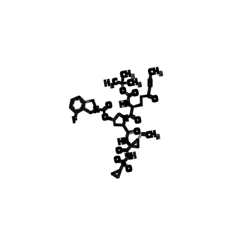 C=C[C@@H]1C[C@]1(NC(=O)C1C[C@@H](OC(=O)N2Cc3cccc(F)c3C2)CN1C(=O)[C@H](CCC(=O)C#CC)NC(=O)OC(C)(C)C)C(=O)NS(=O)(=O)C1CC1